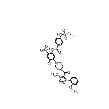 COc1ccccc1-c1nnn(C)c1C(=O)N1CCN(c2cc(NC(=O)c3ccc(NS(C)(=O)=O)cc3)c([N+](=O)[O-])cc2Cl)CC1